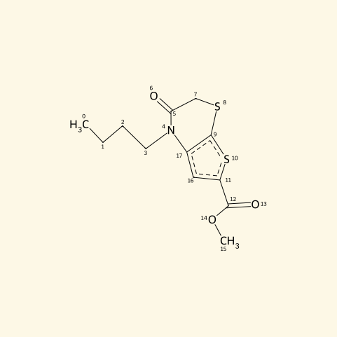 CCCCN1C(=O)CSc2sc(C(=O)OC)cc21